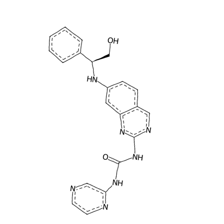 O=C(Nc1cnccn1)Nc1ncc2ccc(N[C@H](CO)c3ccccc3)cc2n1